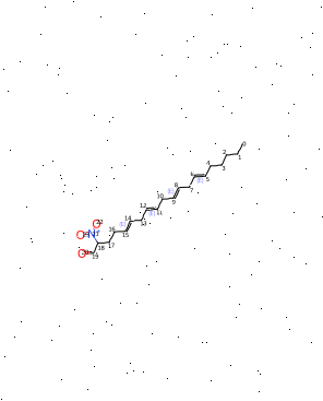 CCCCC/C=C/C/C=C/C/C=C/C/C=C/CCC([C]=O)[N+](=O)[O-]